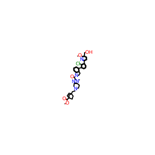 COC(=O)C12CCC(CCN3CCc4c(nc(C(=O)N5CCc6c(-c7cccc(-c8ccc(CO)c(OC)n8)c7Cl)cccc65)n4C)C3)(CC1)C2